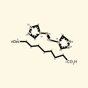 CCCCCCCCCCCCCCCCCC(=O)O.c1nncn1N=Nn1cnnc1